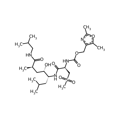 Cc1nc(COC(=O)N[C@@H](CS(C)(=O)=O)C(=O)N[C@H](CC(C)C)[C@@H](O)C[C@@H](C)C(=O)NCC(C)C)c(C)o1